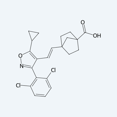 O=C(O)C12CCC(C=Cc3c(-c4c(Cl)cccc4Cl)noc3C3CC3)(CC1)C2